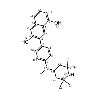 CN(c1ccc(-c2cc3c(O)nccc3cc2O)nn1)C1CC(C)(C)NC(C)(C)C1